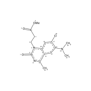 COC(=O)CCn1c(=O)nc(C)c2cc(N(C)C)c(Cl)cc21